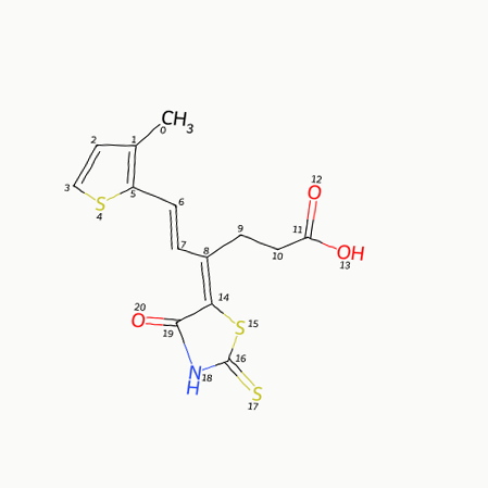 Cc1ccsc1/C=C/C(CCC(=O)O)=C1/SC(=S)NC1=O